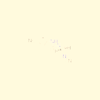 N#Cc1ccc(NC(=O)N2CC[C@@H]3CN(C#N)C[C@@H]32)c(F)c1